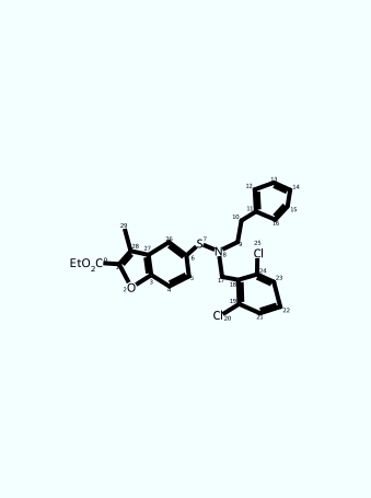 CCOC(=O)c1oc2ccc(SN(CCc3ccccc3)Cc3c(Cl)cccc3Cl)cc2c1C